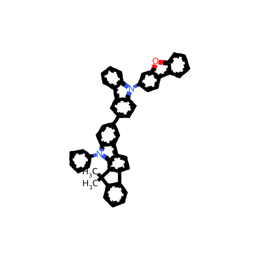 CC1(C)c2ccccc2-c2ccc3c4cc(-c5ccc6c(c5)c5ccccc5n6-c5ccc6c(c5)oc5ccccc56)ccc4n(-c4ccccc4)c3c21